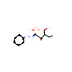 CCC(CC)C(=O)C(=NNc1ccccc1)P(=O)(O)O